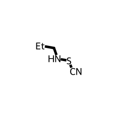 CCCNSC#N